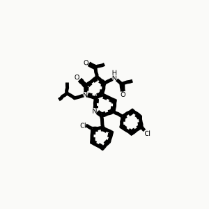 CC(=O)Nc1c(C(C)=O)c(=O)n(CC(C)C)c2nc(-c3ccccc3Cl)c(-c3ccc(Cl)cc3)cc12